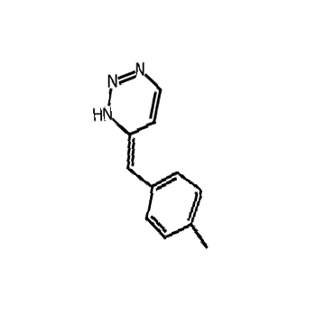 Cc1ccc(C=C2C=CN=NN2)cc1